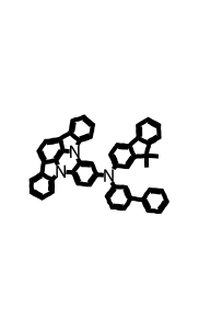 CC1(C)c2ccccc2-c2ccc(N(c3cccc(-c4ccccc4)c3)c3ccc4c(c3)n3c5ccccc5c5ccc6c7ccccc7n4c6c53)cc21